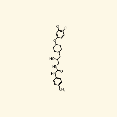 Cc1ccc(NC(=O)NCC(O)CN2CCC(Oc3ccc(Cl)c(Cl)c3)CC2)cc1